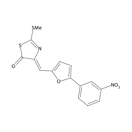 CSC1=N/C(=C\c2ccc(-c3cccc([N+](=O)[O-])c3)o2)C(=O)S1